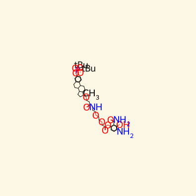 CC(C)(C)OP(=O)(Oc1ccc2c(c1)CCC1C2CCC2(C)C(OCCC(=O)NCCOCCOCC(=O)Oc3ccc(N)c(O)c3C(N)=O)CCC12)OC(C)(C)C